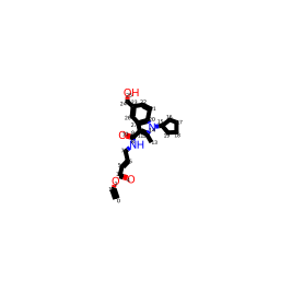 C#COC(=O)/C=C/CNC(=O)c1c(C)n(C2CCCC2)c2ccc(CO)cc12